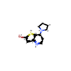 Brc1cc2nccc(N3CCCC3)c2s1